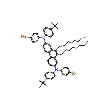 CCCCCCCCc1c(CCCCCCCC)c2cc(N(c3ccc(Br)cc3)c3ccc(C(C)(C)C)cc3)ccc2c2ccc(N(c3ccc(Br)cc3)c3ccc(C(C)(C)C)cc3)cc12